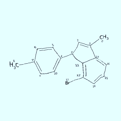 CC1=CC(c2ccc(C)cc2)c2c(Br)cccc21